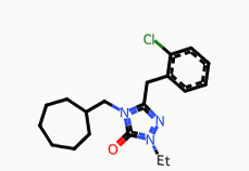 CCn1nc(Cc2ccccc2Cl)n(CC2CCCCCC2)c1=O